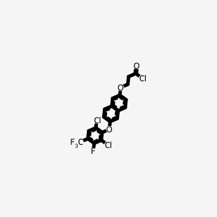 O=C(Cl)CCOc1ccc2cc(Oc3c(Cl)cc(C(F)(F)F)c(F)c3Cl)ccc2c1